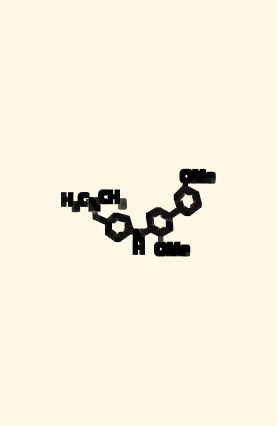 COc1cccc(-c2ccc(Nc3ccc(CN(C)C)cc3)c(OC)c2)c1